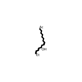 CC/C=C\C=C\C(O)C/C=C\CCCCCCCC(C)=O